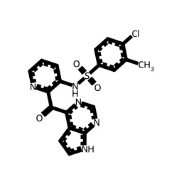 Cc1cc(S(=O)(=O)Nc2cccnc2C(=O)c2ncnc3[nH]ccc23)ccc1Cl